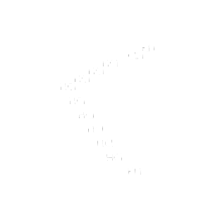 Cl.Cl.Cl.Cl.Cl.Cl.Cl.Cl.Cl.Cl.[KH].[KH]